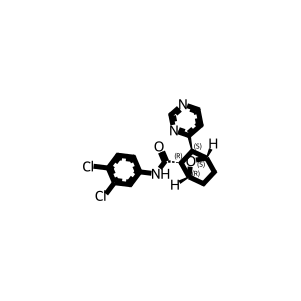 O=C(Nc1ccc(Cl)c(Cl)c1)[C@@H]1[C@@H](c2ccncn2)[C@@H]2CC[C@H]1O2